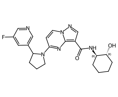 O=C(N[C@@H]1CCCC[C@H]1O)c1cnn2ccc(N3CCCC3c3cncc(F)c3)nc12